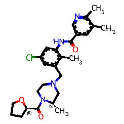 Cc1cc(C(=O)Nc2cc(Cl)cc(CN3CCN(C(=O)[C@H]4CCCO4)[C@@H](C)C3)c2C)cnc1C